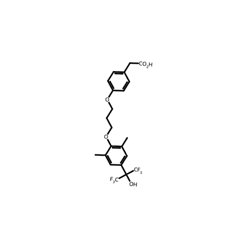 Cc1cc(C(O)(C(F)(F)F)C(F)(F)F)cc(C)c1OCCCOc1ccc(CC(=O)O)cc1